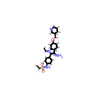 CCn1c(-c2ccc(NS(=O)(=O)CC)cc2)c(N)c2ccc(OCc3cccnc3)cc21